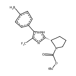 Bc1ccc(-c2[nH]c([C@@H]3CCCN3C(=O)OC(C)(C)C)nc2C(F)(F)F)cc1